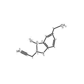 C#CCN1Sc2ccc(CC)cc2[S+]1[O-]